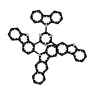 c1ccc2cc3c(cc2c1)c1ccccc1n3-c1ccc2c(oc3ccccc32)c1-c1nc(-c2ccc3c(c2)sc2ccccc23)nc(-n2c3ccccc3c3ccccc32)n1